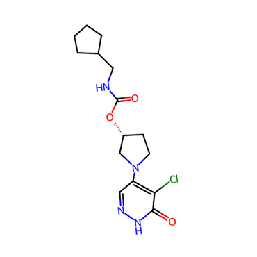 O=C(NCC1CCCC1)O[C@@H]1CCN(c2cn[nH]c(=O)c2Cl)C1